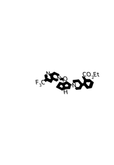 CCOC(=O)Cc1ccccc1C1CCN([C@@H]2C[C@H]3CCC[C@@]3(C(=O)N3CCc4ncc(C(F)(F)F)cc4C3)C2)CC1